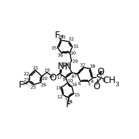 CS(=O)(=O)c1ccc(-c2c(-c3ccc(F)cc3)c(OCc3ccc(F)cc3)nn2Cc2ccc(F)cc2)cc1